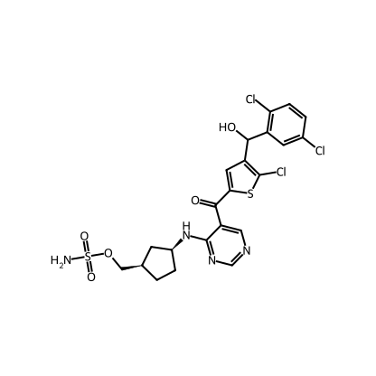 NS(=O)(=O)OC[C@@H]1CC[C@H](Nc2ncncc2C(=O)c2cc(C(O)c3cc(Cl)ccc3Cl)c(Cl)s2)C1